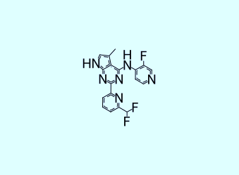 Cc1c[nH]c2nc(-c3cccc(C(F)F)n3)nc(Nc3ccncc3F)c12